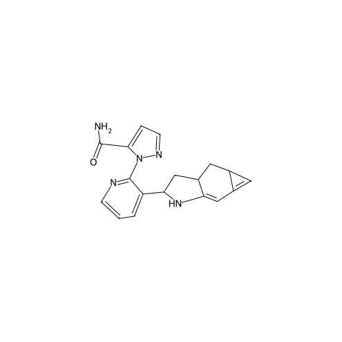 NC(=O)c1ccnn1-c1ncccc1C1CC2CC3C=C3C=C2N1